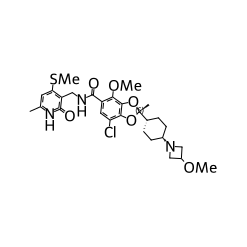 COc1c(C(=O)NCc2c(SC)cc(C)[nH]c2=O)cc(Cl)c2c1O[C@](C)([C@H]1CC[C@H](N3CC(OC)C3)CC1)O2